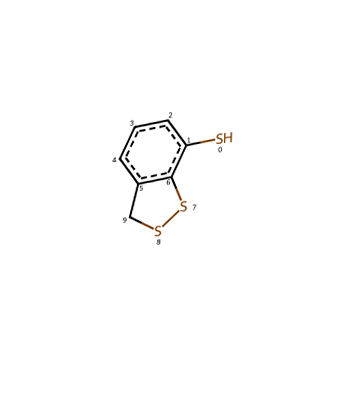 Sc1cccc2c1SSC2